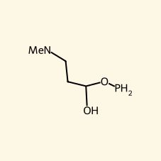 CNCCC(O)OP